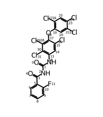 O=C(NC(=O)c1ccccc1F)Nc1cc(Cl)c(Oc2cc(Cl)c(Cl)cc2Cl)c(Cl)c1Cl